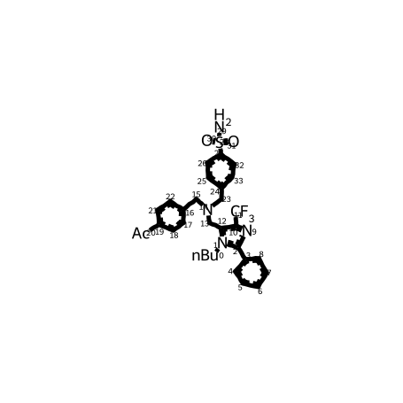 CCCCn1c(-c2ccccc2)nc(C(F)(F)F)c1CN(Cc1ccc(C(C)=O)cc1)Cc1ccc(S(N)(=O)=O)cc1